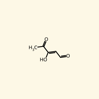 CC(=O)C(O)=CC=O